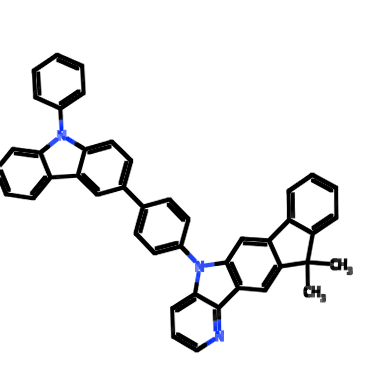 CC1(C)c2ccccc2-c2cc3c(cc21)c1ncccc1n3-c1ccc(-c2ccc3c(c2)c2ccccc2n3-c2ccccc2)cc1